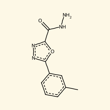 Cc1cccc(-c2nnc(C(=O)NN)o2)c1